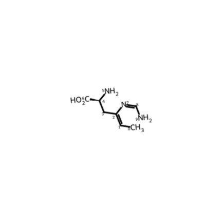 C/C=C(C[C@H](N)C(=O)O)\N=C/N